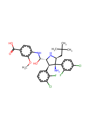 COc1cc(C(=O)O)ccc1NC(O)[C@@H]1N[C@@H](CC(C)(C)C)[C@](N)(c2ccc(Cl)cc2F)[C@H]1c1cccc(Cl)c1F